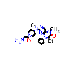 CCC1C(=O)N(C)c2cnc(N(CC)C3CCN(C(=O)CN)CC3)nc2N1C1CCCC1